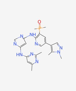 Cc1cc(Nc2cc(Nc3ncc(-c4cnn(C)c4C)cc3P(C)(C)=O)ncn2)nc(C)n1